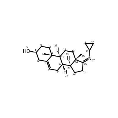 C[C@]12CC[C@H](O)CC1=CC[C@@H]1[C@@H]2CC[C@]2(C)/C(=N\C3CC3)CC[C@@H]12